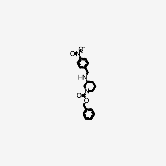 O=C(OCc1ccccc1)N1CCC[C@@H](NCc2ccc([N+](=O)[O-])cc2)C1